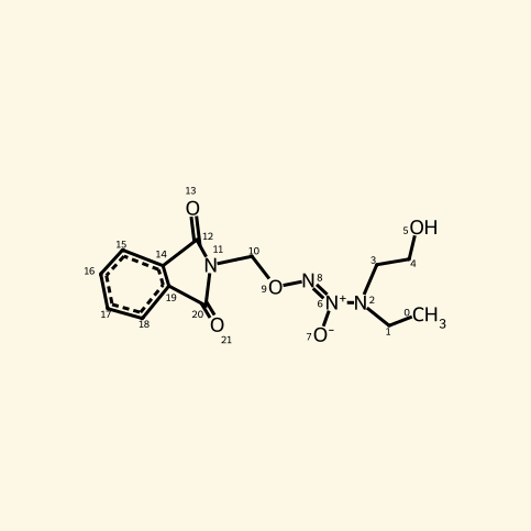 CCN(CCO)/[N+]([O-])=N/OCN1C(=O)c2ccccc2C1=O